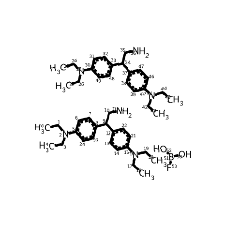 CCN(CC)c1ccc(C(CN)c2ccc(N(CC)CC)cc2)cc1.CCN(CC)c1ccc(C(CN)c2ccc(N(CC)CC)cc2)cc1.OB(O)F